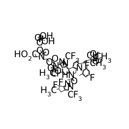 C[C@@H]1Cc2c(C(F)(F)F)nn(CC(=O)N[C@@H](Cc3cc(F)cc(F)c3)c3nc(C#CC(C)(C)S(C)(=O)=O)ccc3-c3ccc(Cl)c4c(N(C(=O)OCCN(CC(=O)O)C(=O)OCOP(=O)(O)O)S(C)(=O)=O)nn(CC(F)(F)F)c34)c2C1(F)F